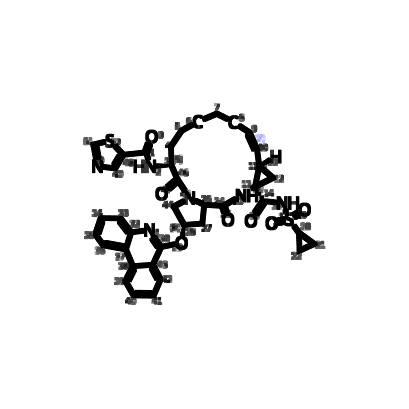 O=C(N[C@H]1CCCCC/C=C\[C@@H]2C[C@@]2(C(=O)NS(=O)(=O)C2CC2)NC(=O)C2C[C@@H](Oc3nc4ccccc4c4ccccc34)CN2C1=O)c1cncs1